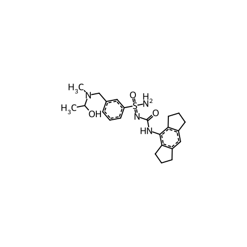 CC(O)N(C)Cc1cccc(S(N)(=O)=NC(=O)Nc2c3c(cc4c2CCC4)CCC3)c1